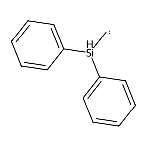 [CH][SiH](c1ccccc1)c1ccccc1